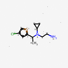 CC(c1cc(Cl)cs1)N(CCN)C1CC1